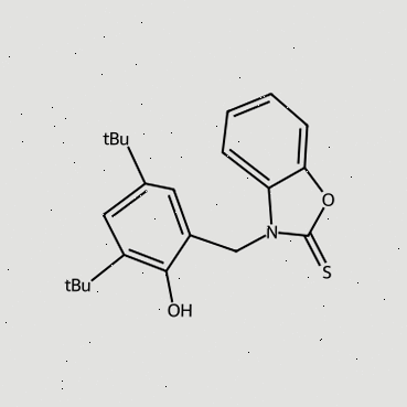 CC(C)(C)c1cc(Cn2c(=S)oc3ccccc32)c(O)c(C(C)(C)C)c1